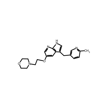 Cc1ccc(Cc2c[nH]c3ncc(OCCN4CCOCC4)cc23)cn1